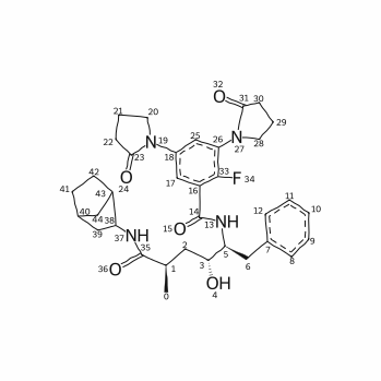 C[C@H](C[C@@H](O)[C@H](Cc1ccccc1)NC(=O)c1cc(N2CCCC2=O)cc(N2CCCC2=O)c1F)C(=O)NC1CC2CCC1C2